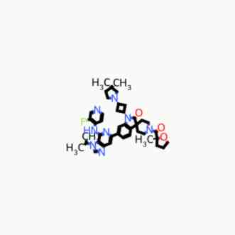 CC(C)n1cnc2cc(-c3ccc4c(c3)N([C@H]3C[C@@H](N5CCC(C)(C)C5)C3)C(=O)C43CCN(C(=O)[C@@]4(C)CCCO4)CC3)nc(Nc3ccncc3F)c21